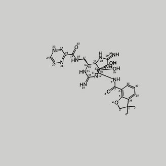 CC1(C)COc2c(C(=O)NC3CN4C(=N)N[C@@H](CNC(=O)c5cnccn5)C5NC(=N)NC54C3(O)O)cccc21